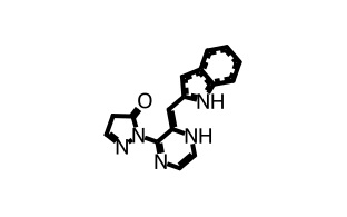 O=C1CC=NN1C1=NC=CNC1=Cc1cc2ccccc2[nH]1